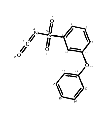 O=C=NS(=O)(=O)c1cccc(Oc2ccccc2)c1